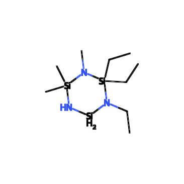 CCN1[SiH2]N[Si](C)(C)N(C)[Si]1(CC)CC